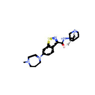 CN1CCCN(c2ccc3c(C(=O)N[C@H]4CN5CCC4CC5)nsc3c2)CC1